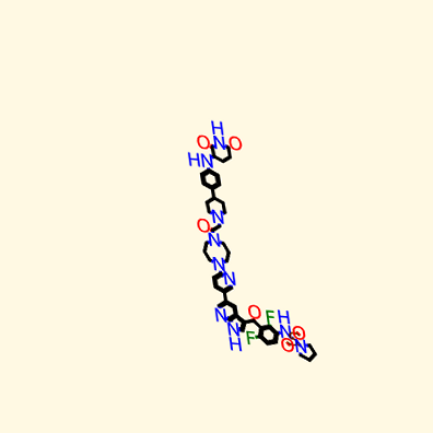 O=C1CCC(Nc2ccc(C3CCN(CC(=O)N4CCCN(c5ccc(-c6cnc7[nH]cc(C(=O)c8c(F)ccc(NS(=O)(=O)N9CCCC9)c8F)c7c6)cn5)CCC4)CC3)cc2)C(=O)N1